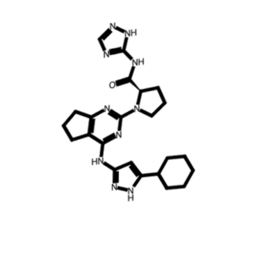 O=C(Nc1ncn[nH]1)[C@H]1CCCN1c1nc2c(c(Nc3cc(C4CCCCC4)[nH]n3)n1)CCC2